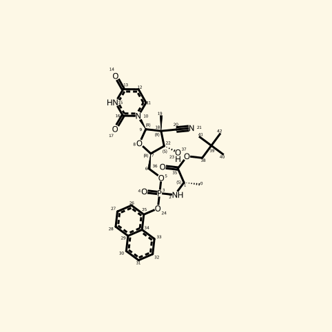 C[C@H](NP(=O)(OC[C@H]1O[C@@H](n2ccc(=O)[nH]c2=O)[C@](C)(C#N)[C@@H]1O)Oc1cccc2ccccc12)C(=O)OCC(C)(C)C